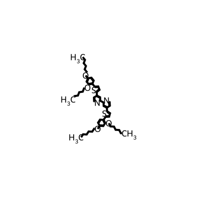 CCCCCCOc1ccc(-c2ccc(-c3ccnc(-c4cc(-c5ccc(-c6ccc(OCCCCCC)cc6OCCCCCC)s5)ccn4)c3)s2)c(OCCCCCC)c1